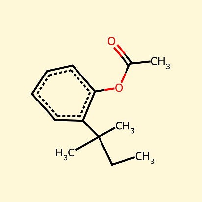 CCC(C)(C)c1ccccc1OC(C)=O